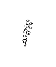 O=Cc1cccc(CNc2ncnc3c2ncn3[C@@H]2O[C@H](CO)[C@@H](O)[C@H]2O)c1